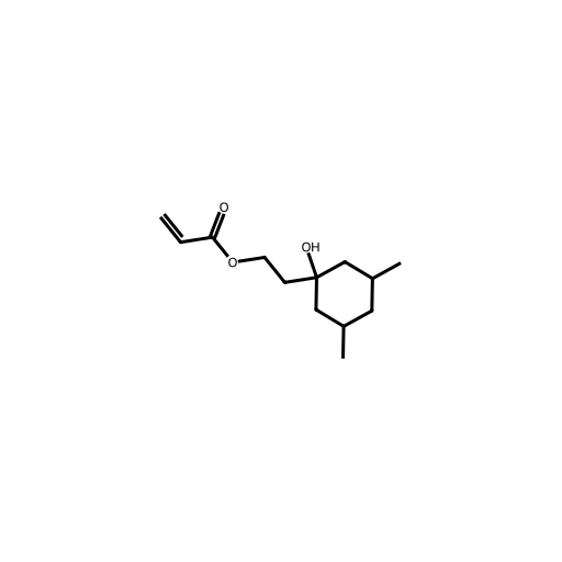 C=CC(=O)OCCC1(O)CC(C)CC(C)C1